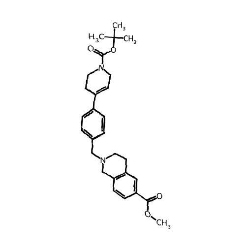 COC(=O)c1ccc2c(c1)CCN(Cc1ccc(C3=CCN(C(=O)OC(C)(C)C)CC3)cc1)C2